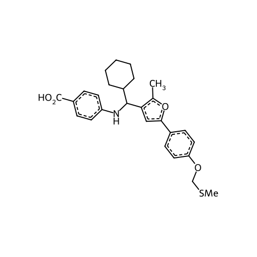 CSCOc1ccc(-c2cc(C(Nc3ccc(C(=O)O)cc3)C3CCCCC3)c(C)o2)cc1